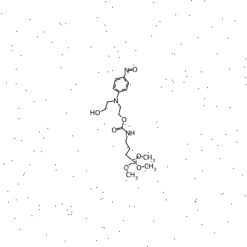 CO[Si](CCCNC(=O)OCCN(CCO)c1ccc(N=O)cc1)(OC)OC